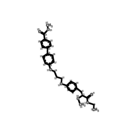 CCOC(=O)[C@H](Cc1ccc(OCCCOc2ccc(-c3ccc(C(=O)OC)cc3)cc2)cc1)OC